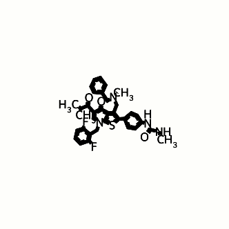 CNC(=O)Nc1ccc(-c2sc3c(c2CN(C)Cc2ccccc2)c(=O)c(C(=O)C(C)C)cn3Cc2c(F)cccc2F)cc1